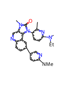 CCN(C)c1ccc(-n2c(=O)n(C)c3cnc4ccc(-c5ccc(NC)nc5)cc4c32)c(C)n1